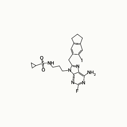 Nc1nc(F)nc2c1nc(Cc1cc3c(cc1I)CCC3)n2CCCNS(=O)(=O)C1CC1